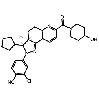 N#Cc1ccc(N2N=C3C4C=CC(C(=O)N5CCC(O)CC5)=NC4CC[C@@H]3[C@@H]2C2CCCC2)cc1Cl